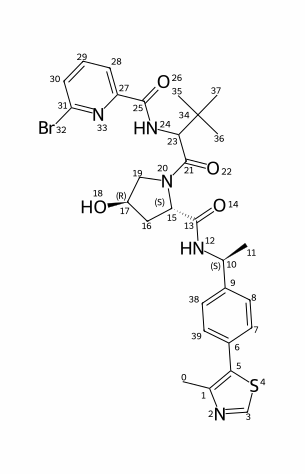 Cc1ncsc1-c1ccc([C@H](C)NC(=O)[C@@H]2C[C@@H](O)CN2C(=O)C(NC(=O)c2cccc(Br)n2)C(C)(C)C)cc1